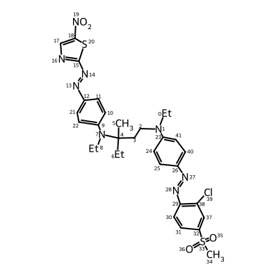 CCN(CCC(C)(CC)N(CC)c1ccc(N=Nc2ncc([N+](=O)[O-])s2)cc1)c1ccc(N=Nc2ccc(S(C)(=O)=O)cc2Cl)cc1